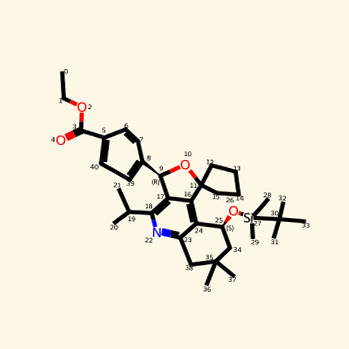 CCOC(=O)c1ccc([C@H]2OC3(CCCC3)c3c2c(C(C)C)nc2c3[C@@H](O[Si](C)(C)C(C)(C)C)CC(C)(C)C2)cc1